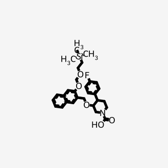 C[Si](C)(C)CCOCOc1cc2ccccc2cc1COC1CN(C(=O)O)CCC1c1ccc(F)cc1